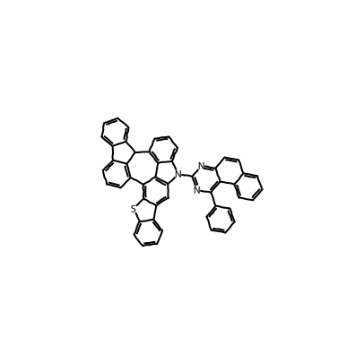 c1ccc(-c2nc(-n3c4cccc5c4c4c(c6sc7ccccc7c6cc43)-c3cccc4c3C5c3ccccc3-4)nc3ccc4ccccc4c23)cc1